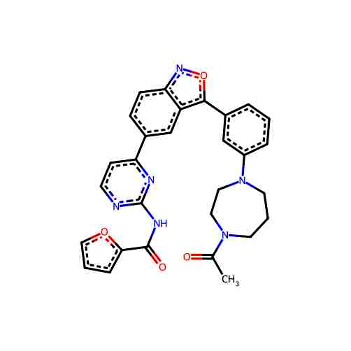 CC(=O)N1CCCN(c2cccc(-c3onc4ccc(-c5ccnc(NC(=O)c6ccco6)n5)cc34)c2)CC1